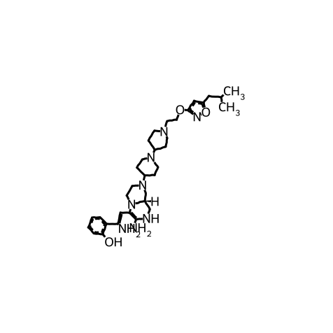 CC(C)Cc1cc(OCCN2CCC(N3CCC(N4CCN5C(/C=C(\N)c6ccccc6O)=C(N)NC[C@H]5C4)CC3)CC2)no1